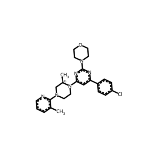 Cc1cccnc1N1CCN(c2cc(-c3ccc(Cl)cc3)nc(N3CCOCC3)n2)[C@H](C)C1